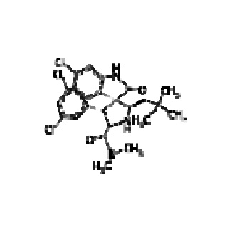 CN(C)C(=O)C1N[C@H](CC(C)(C)C)[C@]2(C(=O)Nc3cc(Cl)ccc32)[C@H]1c1cc(Cl)cc(Cl)c1